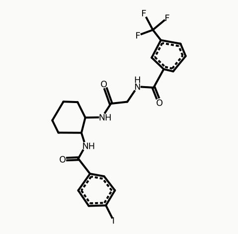 O=C(CNC(=O)c1cccc(C(F)(F)F)c1)NC1CCCCC1NC(=O)c1ccc(I)cc1